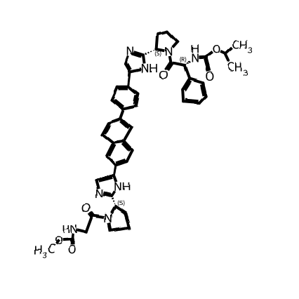 COC(=O)NCC(=O)N1CCC[C@H]1c1ncc(-c2ccc3cc(-c4ccc(-c5cnc([C@@H]6CCCN6C(=O)[C@H](NC(=O)OC(C)C)c6ccccc6)[nH]5)cc4)ccc3c2)[nH]1